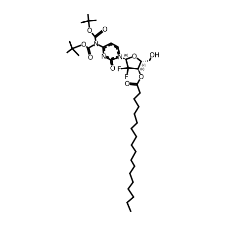 CCCCCCCCCCCCCCCCCC(=O)O[C@@H]1[C@@H](CO)O[C@@H](n2ccc(N(C(=O)OC(C)(C)C)C(=O)OC(C)(C)C)nc2=O)C1(F)F